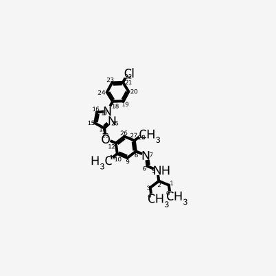 CCC(CC)N/C=N/c1cc(C)c(Oc2ccn(-c3ccc(Cl)cc3)n2)cc1C